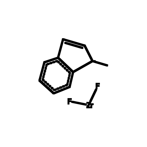 C[C]1C=Cc2ccccc21.[F][Zr][F]